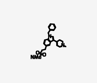 CNS(=O)(=O)CCc1ccc2c(c1)c(C1=CCN(C)CC1)cn2Cc1ccccc1